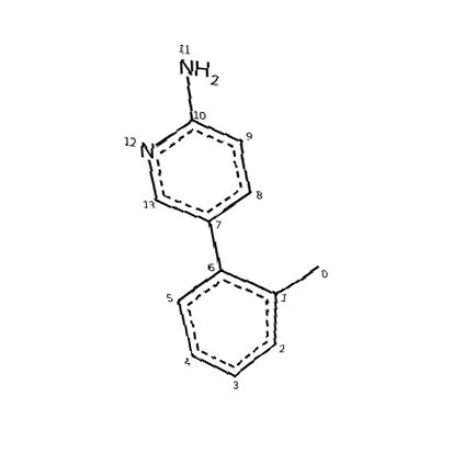 Cc1ccccc1-c1ccc(N)nc1